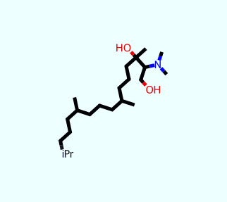 CC(C)CCCC(C)CCCC(C)CCCC(C)(O)C(CO)N(C)C